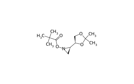 CC1(C)OC[C@H]([C@H]2CN2OC(=O)C(C)(C)C)O1